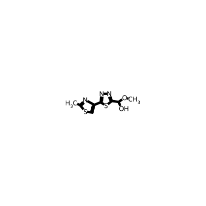 COC(O)c1nnc(-c2csc(C)n2)s1